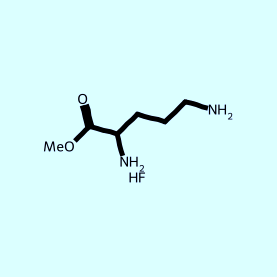 COC(=O)C(N)CCCN.F